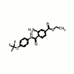 CCOC(=O)c1ccc(C(=O)Nc2ccc(OC(F)(F)F)cc2)c(N)c1